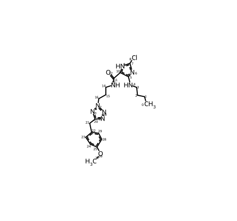 CCCCNc1nc(Cl)[nH]c1C(=O)NCCCn1nnc(Cc2ccc(OC)cc2)n1